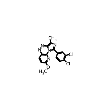 COc1ccc2nnc3c(C)nc(-c4ccc(Cl)c(Cl)c4)n3c2n1